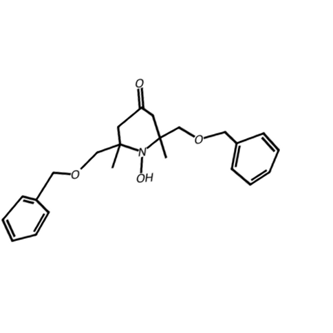 CC1(COCc2ccccc2)CC(=O)CC(C)(COCc2ccccc2)N1O